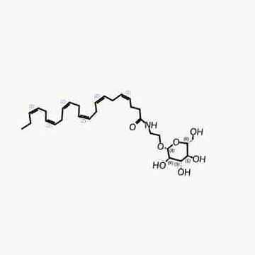 CC/C=C\C/C=C\C/C=C\C/C=C\C/C=C\C/C=C\CCC(=O)NCCO[C@@H]1O[C@H](CO)[C@@H](O)[C@H](O)[C@H]1O